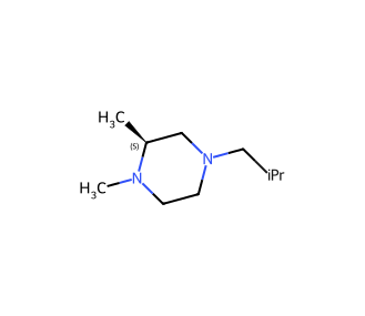 CC(C)CN1CCN(C)[C@@H](C)C1